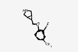 Fc1cc(C(F)(F)F)ccc1OCC1C2CNCC21